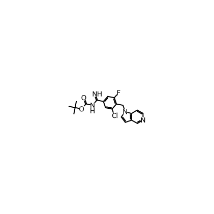 CC(C)(C)OC(=O)NC(=N)c1cc(F)c(Cn2ccc3cnccc32)c(Cl)c1